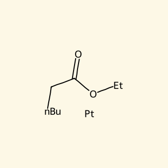 CCCCCC(=O)OCC.[Pt]